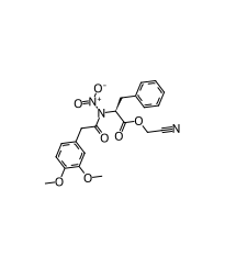 COc1ccc(CC(=O)N([C@@H](Cc2ccccc2)C(=O)OCC#N)[N+](=O)[O-])cc1OC